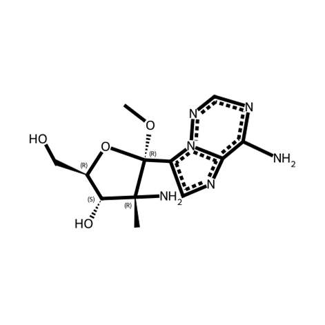 CO[C@@]1(c2cnc3c(N)ncnn23)O[C@H](CO)[C@@H](O)[C@@]1(C)N